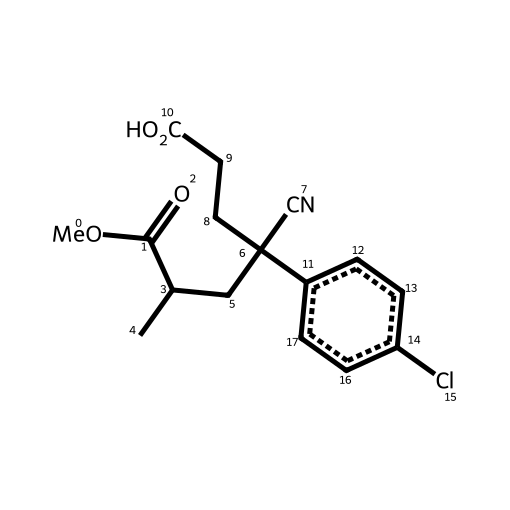 COC(=O)C(C)CC(C#N)(CCC(=O)O)c1ccc(Cl)cc1